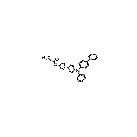 C=CC(=O)Oc1ccc(-c2ccc(N(c3ccccc3)c3ccc(-c4ccccc4)cc3)cc2)cc1